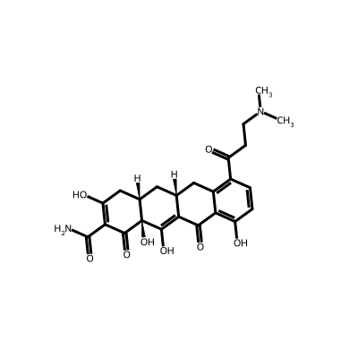 CN(C)CCC(=O)c1ccc(O)c2c1C[C@H]1C[C@H]3CC(O)=C(C(N)=O)C(=O)[C@@]3(O)C(O)=C1C2=O